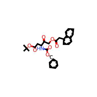 CC(C)(C)OC(=O)CC(NC(=O)OCc1ccccc1)C(=O)COC(=O)Cc1cccc2ccccc12